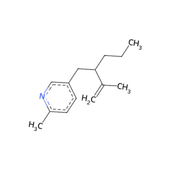 C=C(C)C(CCC)Cc1ccc(C)nc1